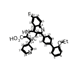 CCOc1ccccc1-c1ccc(-c2nc3ccc(F)cc3c(NC(Cc3cccnc3)C(=O)O)c2C#N)cc1